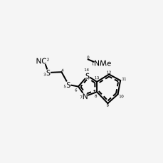 CNC.N#CSCSc1nc2ccccc2s1